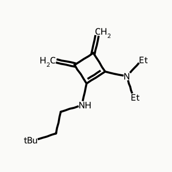 C=C1C(=C)C(N(CC)CC)=C1NCCC(C)(C)C